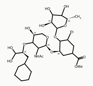 CCC1CC(C(=O)OC)C[C@@H](O[C@@H]2OC[C@H](O)C(O[C@@H](CC3CCCCC3)C(O)O)C2NC(C)=O)C1OC1O[C@@H](C)C(O)C(O)[C@@H]1O